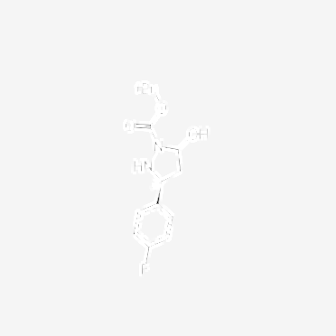 CC(C)(C)OC(=O)N1N[C@H](c2ccc(F)cc2)CC1O